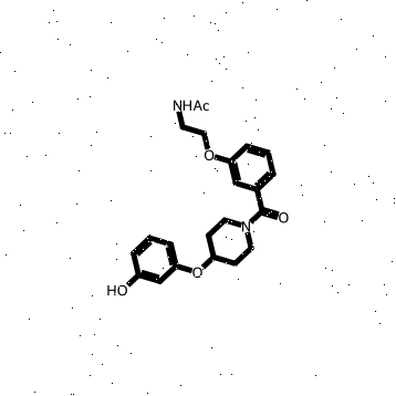 CC(=O)NCCOc1cccc(C(=O)N2CCC(Oc3cccc(O)c3)CC2)c1